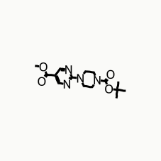 COC(=O)c1cnc(N2CCN(C(=O)OC(C)(C)C)CC2)nc1